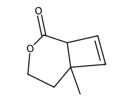 CC12C=CC1C(=O)OCC2